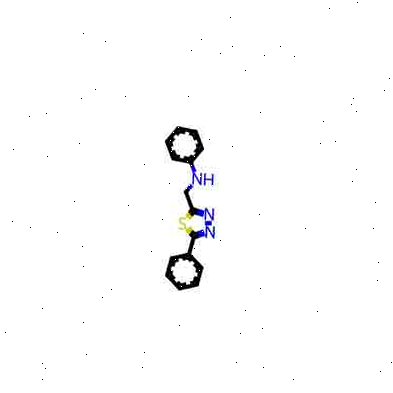 c1ccc(NCc2nnc(-c3ccccc3)s2)cc1